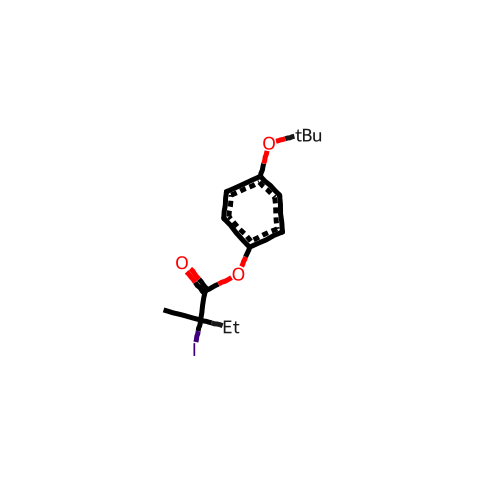 CCC(C)(I)C(=O)Oc1ccc(OC(C)(C)C)cc1